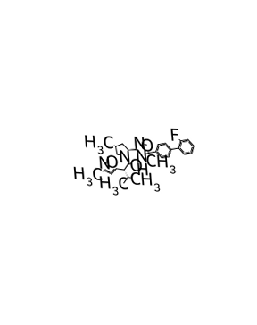 Cc1cc([C@H](C(=O)N2C[C@H](C)C[C@H]2C2=NOC(C)(c3ccc(-c4ccccc4F)cc3)N2)C(C)C)on1